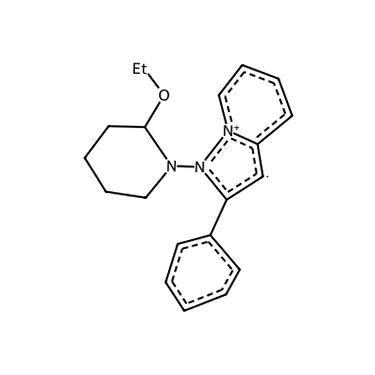 CCOC1CCCCN1n1c(-c2ccccc2)[c]c2cccc[n+]21